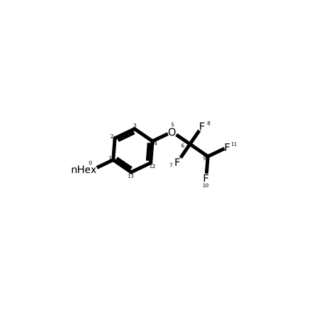 CCCCCCc1ccc(OC(F)(F)C(F)F)cc1